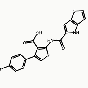 O=C(Nc1scc(-c2ccc(Br)cc2)c1C(=O)O)c1cc2sccc2[nH]1